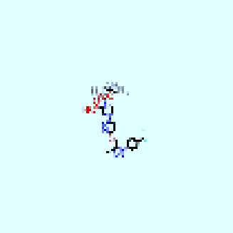 Cc1nnn(-c2ccc(C(F)F)cc2)c1COc1ccc(N2CCN(C(=O)OC(C)(C)C)C(C(=O)O)C2)nn1